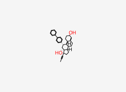 CC#C[C@]1(O)CC[C@H]2[C@@H]3CCC4=CC(O)CCC4=C3[C@@H](c3ccc(-c4ccccc4)cc3)C[C@@]21C